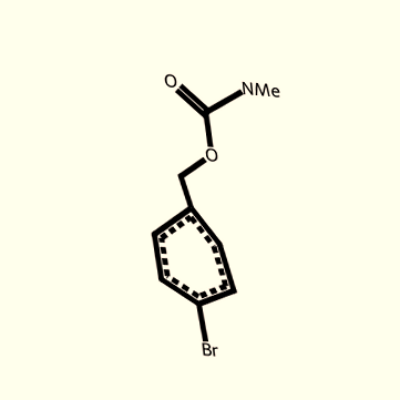 CNC(=O)OCc1ccc(Br)cc1